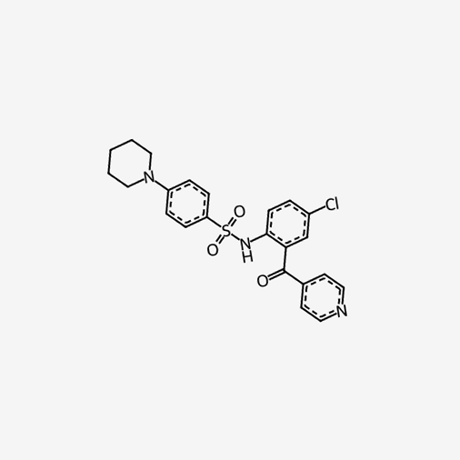 O=C(c1ccncc1)c1cc(Cl)ccc1NS(=O)(=O)c1ccc(N2CCCCC2)cc1